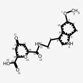 COc1ccc2[nH]cc(CCNC(=O)c3cc(=O)cc(C(=O)O)o3)c2c1